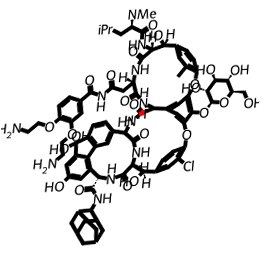 CN[C@H](CC(C)C)C(=O)N[C@H]1C(=O)N[C@@H](CC(=O)NC(=O)c2ccc(OCCN)c(OCCN)c2)C(=O)N[C@H]2C(=O)N[C@H]3C(=O)N[C@H](C(=O)N[C@H](C(=O)NC4C5CC6CC(C5)CC4C6)c4cc(O)cc5c4-c4cc3ccc4C5(O)O)[C@H](O)c3ccc(c(Cl)c3)Oc3cc2cc(c3O[C@@H]2O[C@H](CO)[C@@H](O)[C@H](O)[C@H]2O)Oc2ccc(cc2C)[C@H]1O